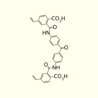 C=Cc1ccc(C(=O)O)c(C(=O)Nc2ccc(C(=O)c3ccc(NC(=O)c4cc(C=C)ccc4C(=O)O)cc3)cc2)c1